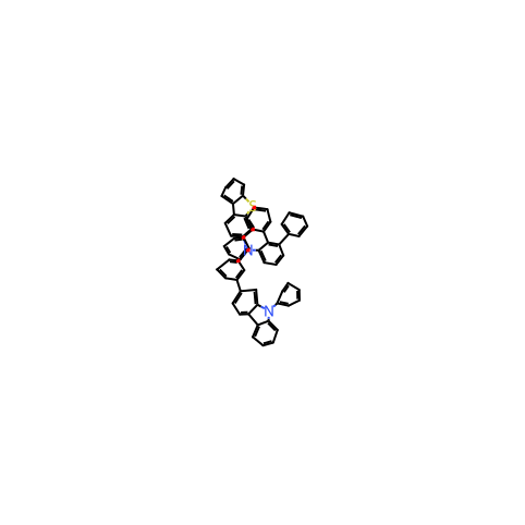 c1ccc(-c2ccccc2-c2c(-c3ccccc3)cccc2N(c2cccc(-c3ccc4c5ccccc5n(-c5ccccc5)c4c3)c2)c2ccc3c(c2)sc2ccccc23)cc1